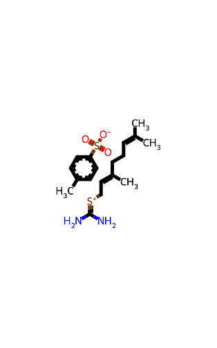 CC(C)=CCC/C(C)=C/C[S+]=C(N)N.Cc1ccc(S(=O)(=O)[O-])cc1